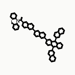 C=C(c1ccc2cc(-c3ccc4cc(-c5ccc6c(-c7ccc8ccccc8c7)c7ccccc7c(-c7ccc8ccccc8c7)c6c5)ccc4c3)ccc2c1)N(c1ccccc1)c1ccccc1I